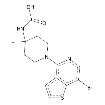 CC1(NC(=O)O)CCN(c2ncc(Br)c3sccc23)CC1